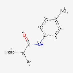 CCCC(C)C(C(C)=O)C(=O)Nc1ccc([N+](=O)[O-])cc1